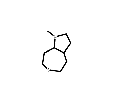 CN1CCC2CCSCCC21